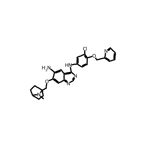 CN1C2CCC1(COc1cc3ncnc(Nc4ccc(OCc5ccccn5)c(Cl)c4)c3cc1N)CC2